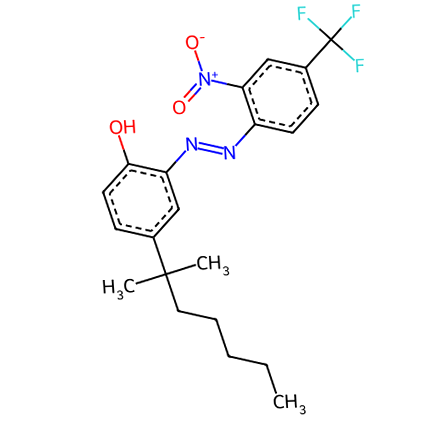 CCCCCC(C)(C)c1ccc(O)c(N=Nc2ccc(C(F)(F)F)cc2[N+](=O)[O-])c1